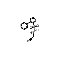 C#CCNNS(=O)(=O)c1sccc1-c1ccccc1